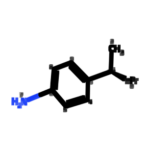 CCC[C@H](C)c1ccc(N)cc1